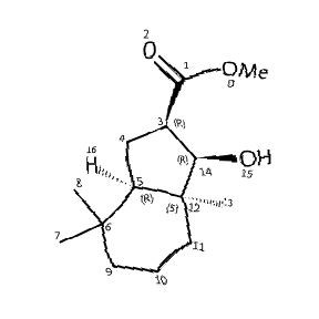 COC(=O)[C@@H]1C[C@@H]2C(C)(C)CCC[C@]2(C)[C@@H]1O